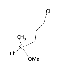 CO[Si](C)(Cl)CCCCl